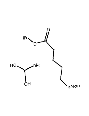 CCCC(O)O.CCCCCCCCCCCCCC(=O)OC(C)C